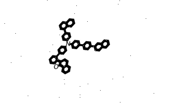 c1ccc2cc(-c3ccc(-c4ccc(N(c5ccc(-c6cccc7ccccc67)cc5)c5ccc(-c6cccc7oc8c9ccccc9ccc8c67)cc5)cc4)cc3)ccc2c1